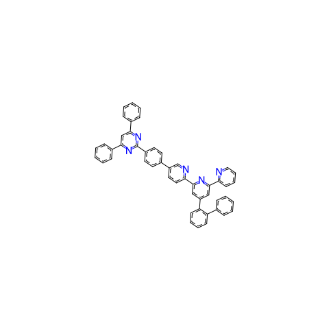 c1ccc(-c2cc(-c3ccccc3)nc(-c3ccc(-c4ccc(-c5cc(-c6ccccc6-c6ccccc6)cc(-c6ccccn6)n5)nc4)cc3)n2)cc1